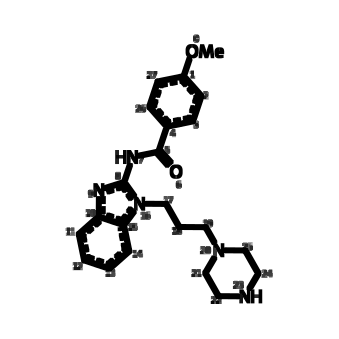 COc1ccc(C(=O)Nc2nc3ccccc3n2CCCN2CCNCC2)cc1